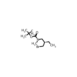 CC[C@@H](CBr)CN(C)C(=O)OC(C)(C)C